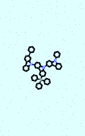 c1ccc(-c2ccc3c4ccccc4n(-c4ccc5c(c4)c4cc([Si](c6ccccc6)(c6ccccc6)c6ccccc6)ccc4n5-c4ccc5c(c4)c4ccccc4n5-c4ccccc4)c3c2)cc1